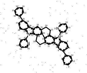 c1ccc(-c2ccc3c(c2)c2cc4c5c(c2n3-c2ccccn2)CCc2cc3c6cc(-c7ccccc7)ccc6n(-c6ccccn6)c3c(c2-5)CC4)cc1